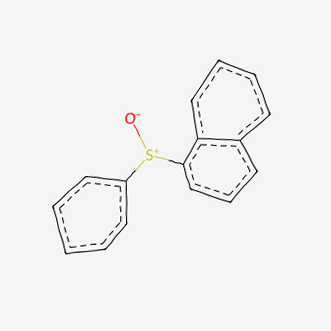 [O-][S+](c1ccccc1)c1cccc2ccccc12